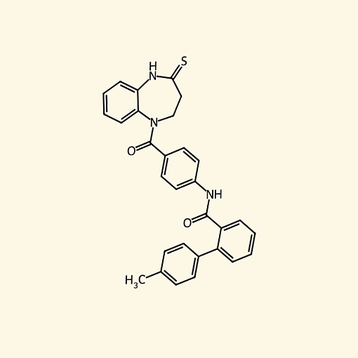 Cc1ccc(-c2ccccc2C(=O)Nc2ccc(C(=O)N3CCC(=S)Nc4ccccc43)cc2)cc1